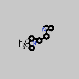 CC1(C)c2ccccc2-n2c3ccc(-c4cccc(-c5nccc6ccccc56)c4)cc3c3cccc1c32